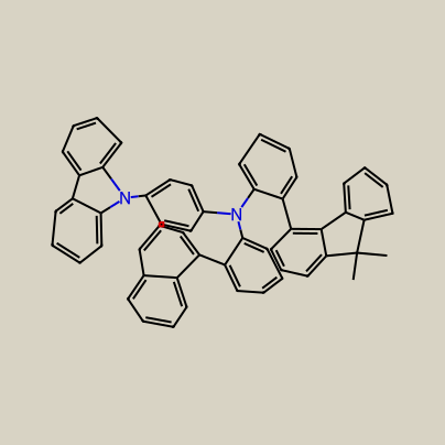 CC1(C)c2ccccc2-c2c(-c3ccccc3N(c3ccc(-n4c5ccccc5c5ccccc54)cc3)c3ccccc3-c3cccc4ccccc34)cccc21